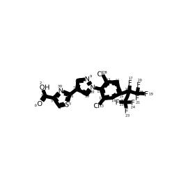 O=C(O)c1csc(-c2cnn(-c3c(Cl)cc(C(F)(C(F)(F)F)C(F)(F)F)cc3Cl)c2)n1